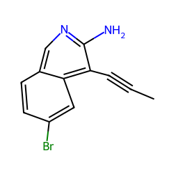 CC#Cc1c(N)ncc2ccc(Br)cc12